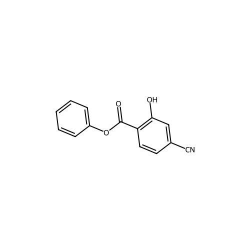 N#Cc1ccc(C(=O)Oc2ccccc2)c(O)c1